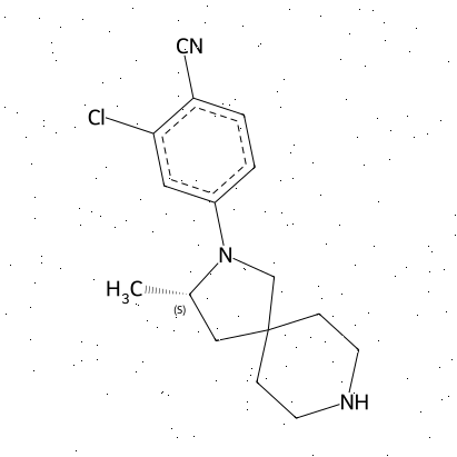 C[C@H]1CC2(CCNCC2)CN1c1ccc(C#N)c(Cl)c1